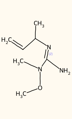 C=CC(C)/N=C(/N)N(C)OC